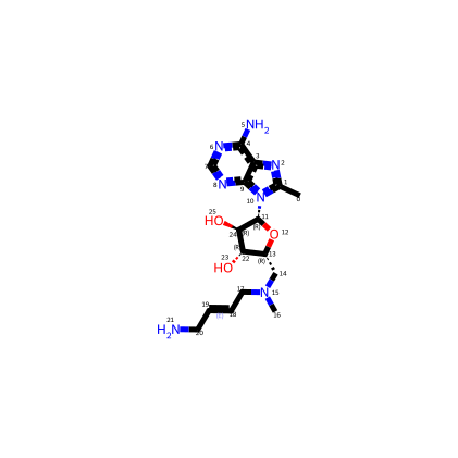 Cc1nc2c(N)ncnc2n1[C@@H]1O[C@H](CN(C)C/C=C/CN)[C@H](O)[C@H]1O